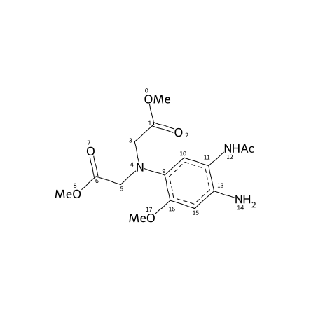 COC(=O)CN(CC(=O)OC)c1cc(NC(C)=O)c(N)cc1OC